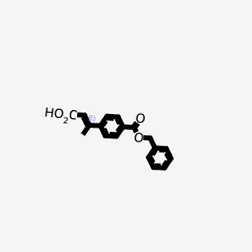 C/C(=C\C(=O)O)c1ccc(C(=O)OCc2ccccc2)cc1